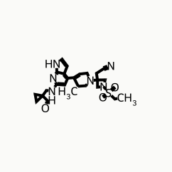 CCS(=O)(=O)N1CC(CC#N)(N2CC=C(c3cc(NCC4(C=O)CC4)nc4[nH]ccc34)C(C)C2)C1